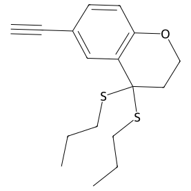 C#Cc1ccc2c(c1)C(SCCC)(SCCC)CCO2